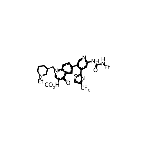 CCNC(=O)Nc1cc(-c2nc(C(F)(F)F)cs2)c(-c2ccc3c(c2)c(=O)c(C(=O)O)cn3C[C@@H]2CCCN(CC)C2)cn1